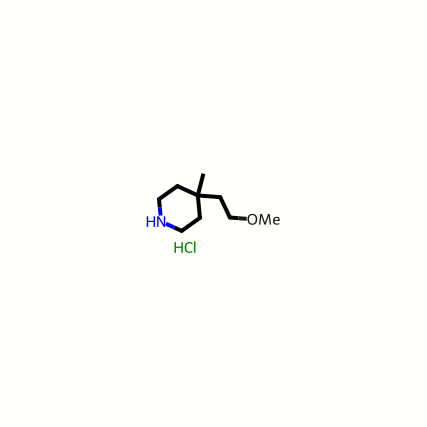 COCCC1(C)CCNCC1.Cl